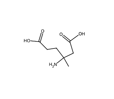 CC(N)(CCC(=O)O)CC(=O)O